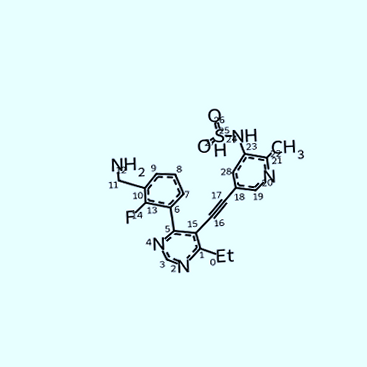 CCc1ncnc(-c2cccc(CN)c2F)c1C#Cc1cnc(C)c(N[SH](=O)=O)c1